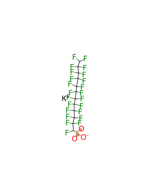 O=S(=O)([O-])C(F)C(F)(F)C(F)(F)C(F)(F)C(F)(F)C(F)(F)C(F)(F)C(F)(F)C(F)(F)C(F)(F)C(F)(F)C(F)F.[K+]